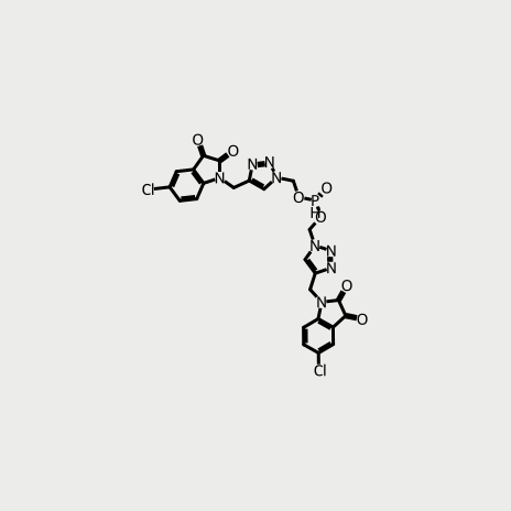 O=C1C(=O)N(Cc2cn(CO[PH](=O)OCn3cc(CN4C(=O)C(=O)c5cc(Cl)ccc54)nn3)nn2)c2ccc(Cl)cc21